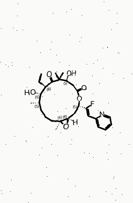 CC[C@H]1C(=O)C(C)(C)[C@@H](O)CC(=O)O[C@H](C(F)=Cc2ccccn2)C[C@H]2O[C@@]2(C)CCC[C@H](C)[C@@H]1O